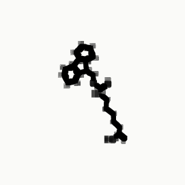 C=C(O)CCCCCNC(=O)OCC1c2ccccc2-c2ccccc21